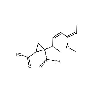 C/C=C(\C=C/C(C)C1(C(=O)O)CC1C(=O)O)OC